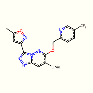 COc1cc2nnc(-c3cc(C)on3)n2nc1OCc1ccc(C(F)(F)F)cn1